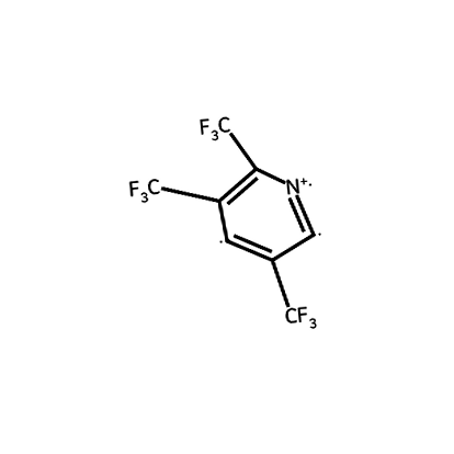 FC(F)(F)C1=[C]C(C(F)(F)F)=C(C(F)(F)F)[N+]=[C]1